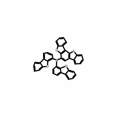 c1ccc2c(c1)oc1c(N(c3cccc4c3oc3ccccc34)c3cc4c5ccccc5sc4c4c3oc3ccccc34)cccc12